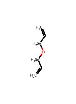 C=[CH][SnH2][O][SnH2][CH]=C